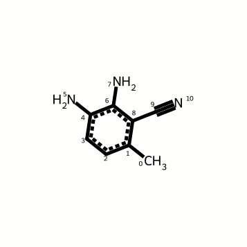 Cc1ccc(N)c(N)c1C#N